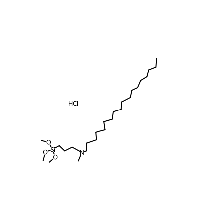 CCCCCCCCCCCCCCCCCCN(C)CCC[Si](OC)(OC)OC.Cl